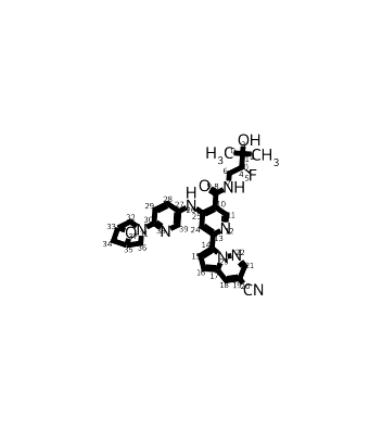 CC(C)(O)[C@H](F)CNC(=O)c1cnc(-c2ccc3cc(C#N)cnn23)cc1Nc1ccc(N2CC3CC(C2)O3)nc1